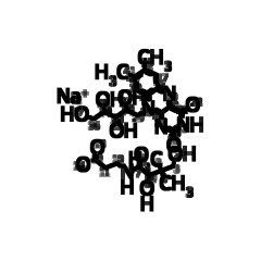 CC(C)(CO)[C@@H](O)C(=O)NCCC(=O)[O-].Cc1cc2nc3c(=O)[nH]c(=O)nc-3n(C[C@H](O)[C@H](O)[C@H](O)CO)c2cc1C.[Na+]